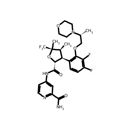 C[C@H](COc1c([C@H]2[C@H](C(=O)Nc3ccnc(C(N)=O)c3)O[C@@](C)(C(F)(F)F)[C@H]2C)ccc(F)c1F)N1CCOCC1